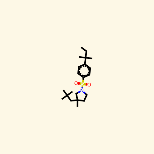 CCC(C)(C)c1ccc(S(=O)(=O)N2CCC(C)(CC(C)(C)C)C2)cc1